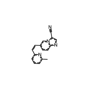 Cc1cccc(/C=C\c2ccc3ncc(C#N)n3c2)n1